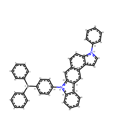 c1ccc(B(c2ccccc2)c2ccc(-n3c4ccccc4c4cc5c(ccc6c5ccn6-c5ccccc5)cc43)cc2)cc1